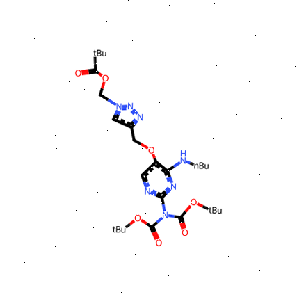 CCCCNc1nc(N(C(=O)OC(C)(C)C)C(=O)OC(C)(C)C)ncc1OCc1cn(COC(=O)C(C)(C)C)nn1